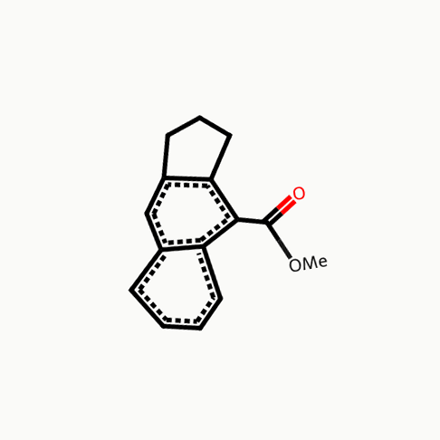 COC(=O)c1c2c(cc3ccccc13)CCC2